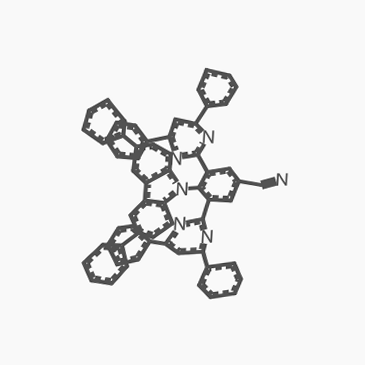 N#Cc1cc(-c2nc(-c3ccccc3)cc(-c3ccccc3)n2)c(-n2c3ccc(-c4ccccc4)cc3c3cc(-c4ccccc4)ccc32)c(-c2nc(-c3ccccc3)cc(-c3ccccc3)n2)c1